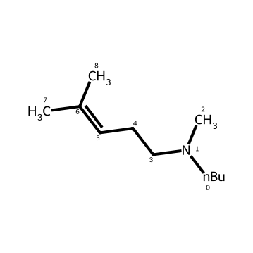 CCCCN(C)CCC=C(C)C